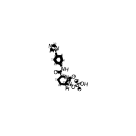 O=C(Nc1ccc(-n2cncn2)cc1)[C@@H]1CC[C@H]2CN1C(=O)N2OS(=O)(=O)O